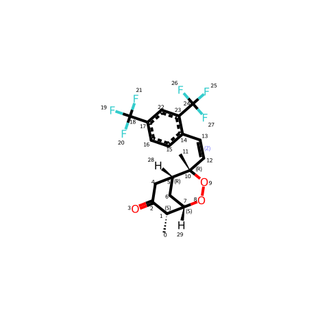 C[C@@H]1C(=O)C[C@H]2C[C@@H]1OO[C@@]2(C)/C=C\c1ccc(C(F)(F)F)cc1C(F)(F)F